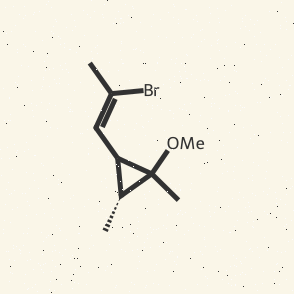 COC1(C)C(C=C(C)Br)[C@H]1C